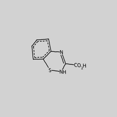 O=C(O)C1=Nc2ccccc2SN1